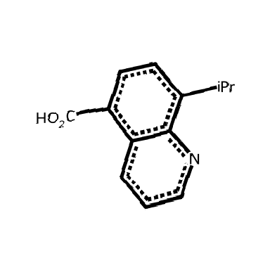 CC(C)c1ccc(C(=O)O)c2cccnc12